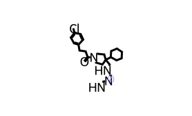 N=C/N=C\NCC1(C2CCCCC2)CCN(C(=O)CCc2ccc(Cl)cc2)CC1